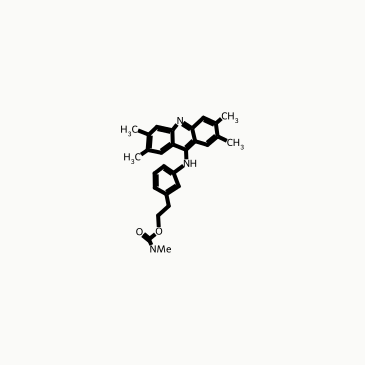 CNC(=O)OCCc1cccc(Nc2c3cc(C)c(C)cc3nc3cc(C)c(C)cc23)c1